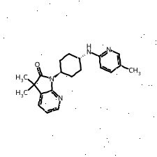 Cc1ccc(N[C@H]2CC[C@H](N3C(=O)C(C)(C)c4cccnc43)CC2)nc1